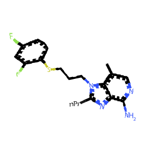 CCCc1nc2c(N)ncc(C)c2n1CCCSc1ccc(F)cc1F